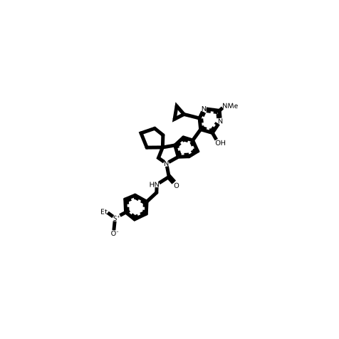 CC[S+]([O-])c1ccc(CNC(=O)N2CC3(CCCC3)c3cc(-c4c(O)nc(NC)nc4C4CC4)ccc32)cc1